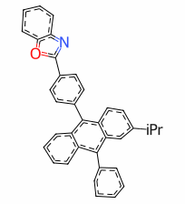 CC(C)c1ccc2c(-c3ccc(-c4nc5ccccc5o4)cc3)c3ccccc3c(-c3ccccc3)c2c1